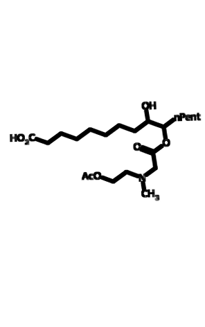 CCCCCC(OC(=O)CN(C)CCOC(C)=O)C(O)CCCCCCCC(=O)O